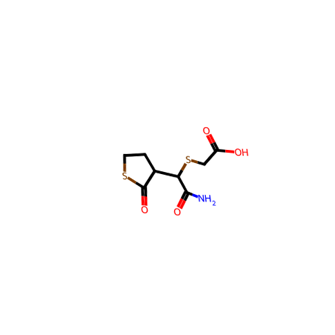 NC(=O)C(SCC(=O)O)C1CCSC1=O